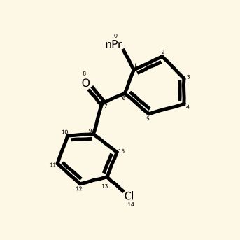 CCCc1ccccc1C(=O)c1cccc(Cl)c1